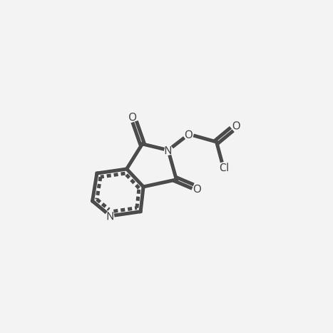 O=C(Cl)ON1C(=O)c2ccncc2C1=O